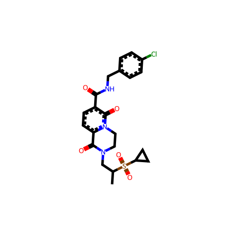 CC(CN1CCn2c(ccc(C(=O)NCc3ccc(Cl)cc3)c2=O)C1=O)S(=O)(=O)C1CC1